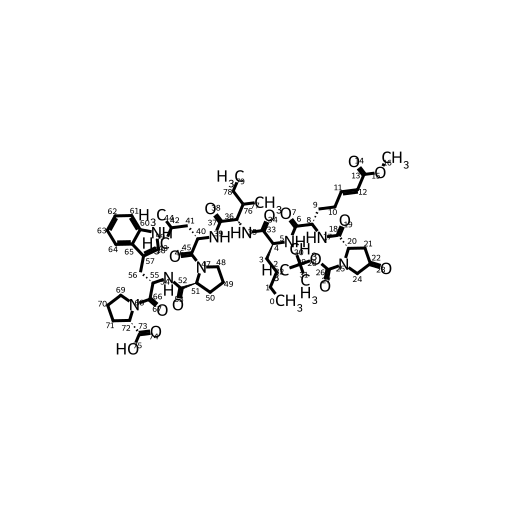 CCCC[C@H](NC(=O)[C@H](CC/C=C/C(=O)OC)NC(=O)[C@@H]1CC(=O)CN1C(=O)OC(C)(C)C)C(=O)N[C@H](C(=O)N[C@@H](CC(C)C)C(=O)N1CCC[C@H]1C(=O)N[C@@H](Cc1c[nH]c2ccccc12)C(=O)N1CCC[C@H]1C(=O)O)C(C)CC